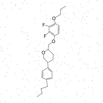 CCCCc1ccc(C2CCC(COc3ccc(OCCC)c(F)c3F)OC2)cc1